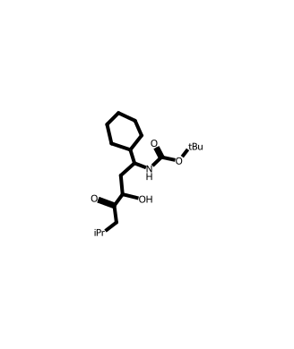 CC(C)CC(=O)C(O)CC(NC(=O)OC(C)(C)C)C1CCCCC1